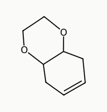 C1=CCC2OCCOC2C1